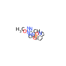 CCn1c(OC)nnc1[C@@H](C)NS(=O)(=O)c1cccc2cccnc12